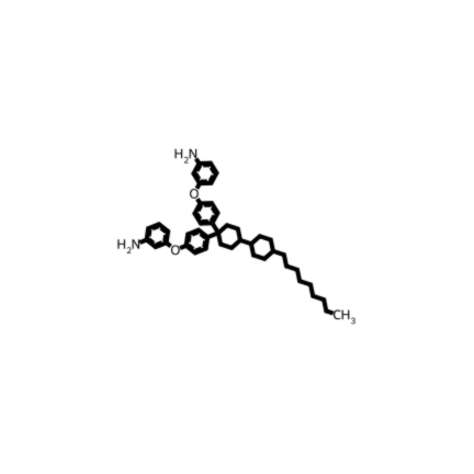 CCCCCCCCCC1CCC(C2CCC(c3ccc(Oc4cccc(N)c4)cc3)(c3ccc(Oc4cccc(N)c4)cc3)CC2)CC1